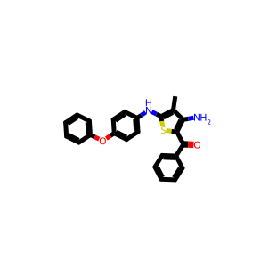 Cc1c(Nc2ccc(Oc3ccccc3)cc2)sc(C(=O)c2ccccc2)c1N